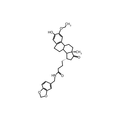 CCOc1cc2c(cc1O)CCC1C2CC[C@]2(C)C(=O)C[C@H](CCCC(=O)NCc3ccc4c(c3)OCO4)C12